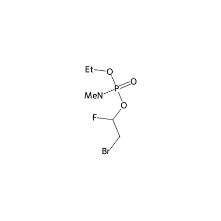 CCOP(=O)(NC)OC(F)CBr